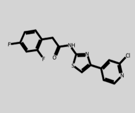 O=C(Cc1ccc(F)cc1F)Nc1nc(-c2ccnc(Cl)c2)cs1